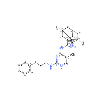 N#Cc1cnc(NCCCc2ccccc2)nc1NC[C@]12CC3C[C@H](C1)[C@@H](N)[C@@H](C3)C2